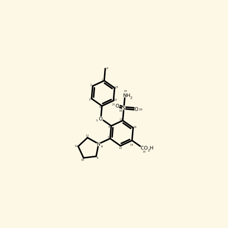 Cc1ccc(Oc2c(N3CCCC3)cc(C(=O)O)cc2S(N)(=O)=O)cc1